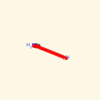 CCOCc1nc2c(N)nc3ccccc3c2n1CC(C)(C)OCCOCCOCCOCCOCCOCCOCCOCCOCCOCCOCCOCCOCCOCCOCCOCCOCCOCCOCCOCCOCCOCCOCCOCCNC(=O)/C=C/C(=O)c1ccccc1